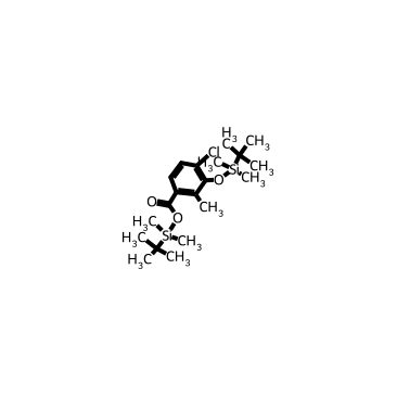 Cc1c(C(=O)O[Si](C)(C)C(C)(C)C)ccc(Cl)c1O[Si](C)(C)C(C)(C)C